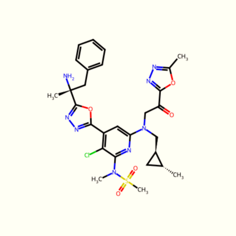 Cc1nnc(C(=O)CN(C[C@@H]2C[C@H]2C)c2cc(-c3nnc([C@](C)(N)Cc4ccccc4)o3)c(Cl)c(N(C)S(C)(=O)=O)n2)o1